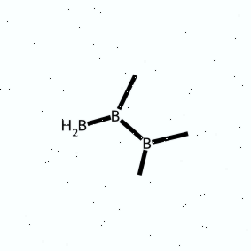 BB(C)B(C)C